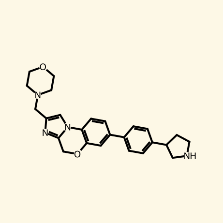 c1cc(C2CCNC2)ccc1-c1ccc2c(c1)OCc1nc(CN3CCOCC3)cn1-2